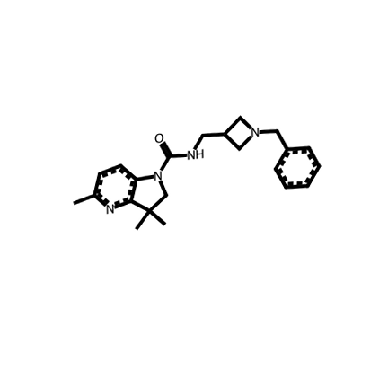 Cc1ccc2c(n1)C(C)(C)CN2C(=O)NCC1CN(Cc2ccccc2)C1